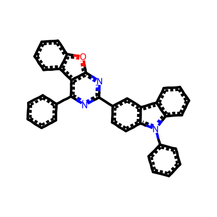 c1ccc(-c2nc(-c3ccc4c(c3)c3ccccc3n4-c3ccccc3)nc3oc4ccccc4c23)cc1